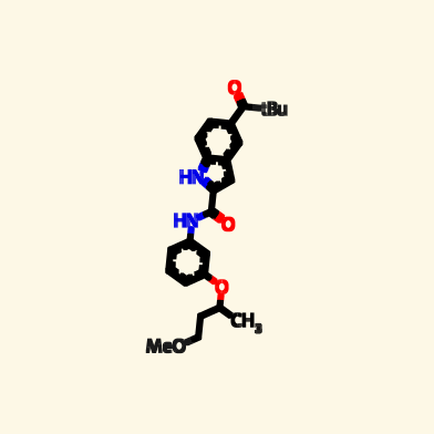 COCCC(C)Oc1cccc(NC(=O)c2cc3cc(C(=O)C(C)(C)C)ccc3[nH]2)c1